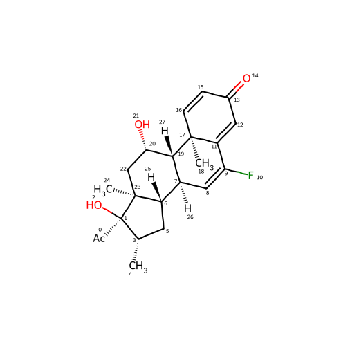 CC(=O)[C@@]1(O)[C@@H](C)C[C@H]2[C@@H]3C=C(F)C4=CC(=O)C=C[C@]4(C)[C@H]3[C@@H](O)C[C@@]21C